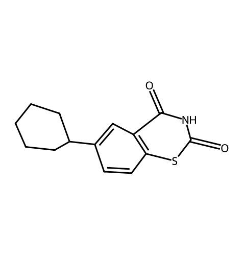 O=c1[nH]c(=O)c2cc(C3CCCCC3)ccc2s1